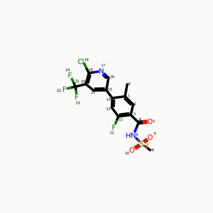 Cc1cc(C(=O)NS(C)(=O)=O)c(F)cc1-c1cnc(Cl)c(C(F)(F)F)c1